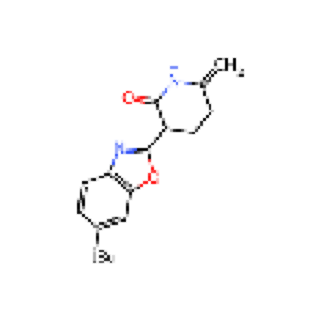 C=C1CCC(c2nc3ccc(C(C)(C)C)cc3o2)C(=O)N1